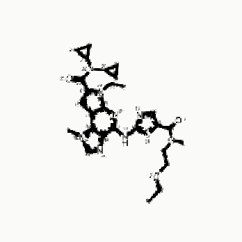 CCOCCN(C)C(=O)c1cnc(Nc2nc3c(cc(C(=O)N(C4CC4)C4CC4)n3CC)c3c2ncn3C)s1